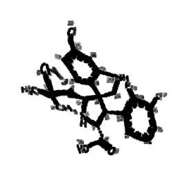 CC(C)(C)C[C@@H]1N[C@@H](C(=O)O)[C@H](c2cccc(Cl)c2F)[C@]12CNc1cc(Cl)ccc12